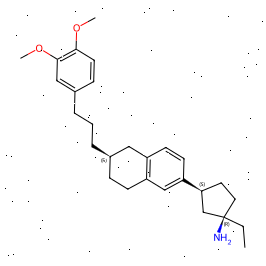 CC[C@@]1(N)CC[C@H](c2ccc3c(c2)CC[C@@H](CCCc2ccc(OC)c(OC)c2)C3)C1